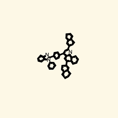 c1ccc(-n2c(-c3ccc(-c4cc(-c5ccc6ccccc6c5)nc5c4cc(-c4ccc6ccccc6c4)c4ccccc45)cc3)nc3ccccc32)cc1